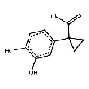 C=C(Cl)C1(c2ccc(O)c(O)c2)CC1